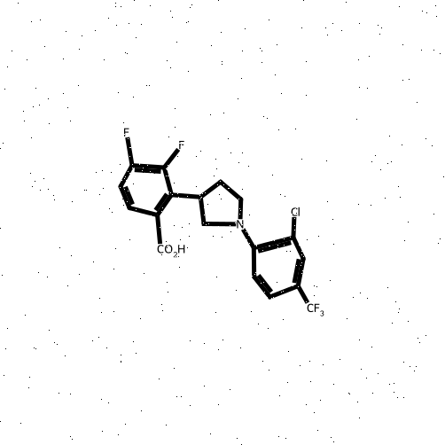 O=C(O)c1ccc(F)c(F)c1C1CCN(c2ccc(C(F)(F)F)cc2Cl)C1